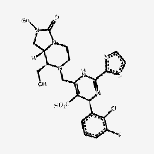 CC(C)(C)N1C[C@H]2[C@H](CO)N(CC3=C(C(=O)O)[C@H](c4cccc(F)c4Cl)N=C(c4nccs4)N3)CCN2C1=O